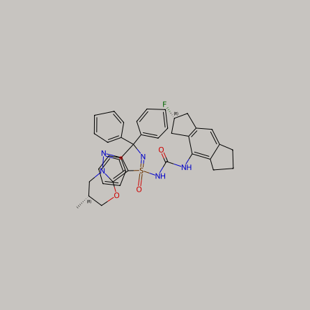 C[C@H]1COc2c(S(=O)(=NC(c3ccccc3)(c3ccccc3)c3ccccc3)NC(=O)Nc3c4c(cc5c3C[C@H](F)C5)CCC4)cnn2C1